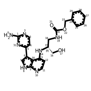 Nc1nccc(-c2c[nH]c3nccc(N[C@@H](CO)CNC(=O)OCc4ccccc4)c23)n1